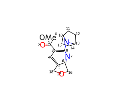 COC(=O)c1cc2c(nc1N1C3CCC1CC3)COC2